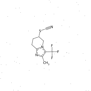 Cc1nc2n(c1C(F)(F)F)CC(SC#N)CC2